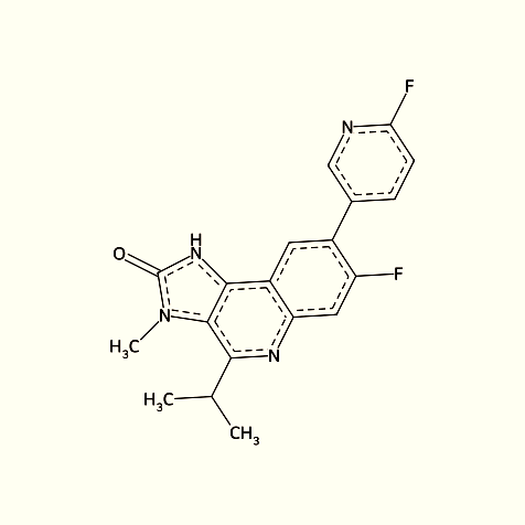 CC(C)c1nc2cc(F)c(-c3ccc(F)nc3)cc2c2[nH]c(=O)n(C)c12